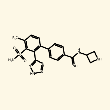 N=C(NC1CNC1)c1ccc(-c2ccc(C(F)(F)F)c(S(N)(=O)=O)c2-c2nn[nH]n2)cc1